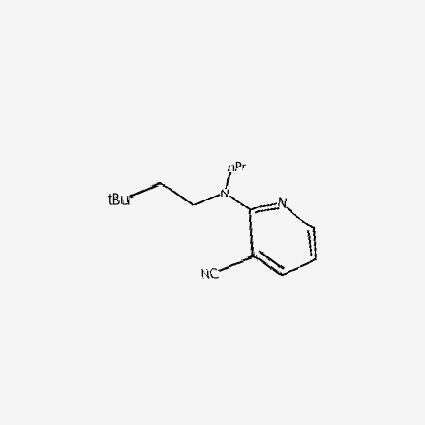 CCCN(CCC(C)(C)C)c1ncccc1C#N